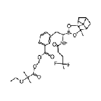 CCOC(C)(C)C(=O)OCOC(=O)c1cccc(CC(NC(=O)CCC(C)(F)F)B2OC3CC4CC(C4(C)C)C3(C)O2)c1